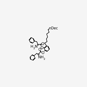 CCCCCCCCCCCCCCCCCc1cccc(OC(=O)[C@@H](N)Cc2ccccc2)c1OC(=O)[C@@H](N)Cc1ccccc1